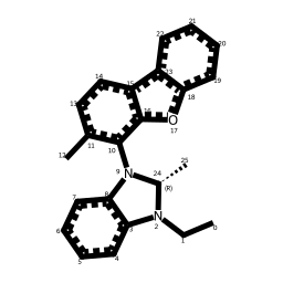 CCN1c2ccccc2N(c2c(C)ccc3c2oc2ccccc23)[C@@H]1C